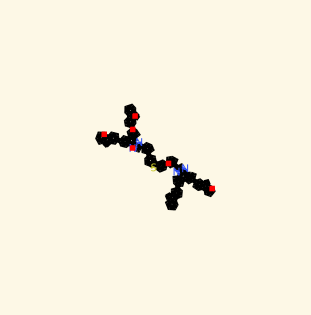 CC1(C)c2ccccc2-c2ccc(-c3ccc4c(c3)c3cc(-c5ccc6c(c5)C(C)(C)c5ccccc5-6)ccc3c3nc(-c5cccc(-c6ccc7sc8ccc(-c9cccc(-c%10cnc%11c%12ccc(-c%13ccc%14c(c%13)C(C)(C)c%13ccccc%13-%14)cc%12c%12cc(-c%13ccc%14c(c%13)C(C)(C)c%13ccccc%13-%14)ccc%12c%11n%10)c9)cc8c7c6)c5)cnc43)cc21